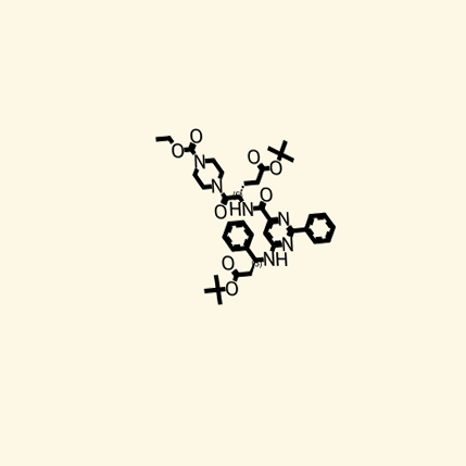 CCOC(=O)N1CCN(C(=O)[C@H](CCC(=O)OC(C)(C)C)NC(=O)c2cc(N[C@@H](CC(=O)OC(C)(C)C)c3ccccc3)nc(-c3ccccc3)n2)CC1